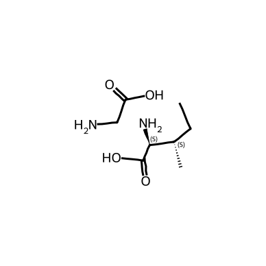 CC[C@H](C)[C@H](N)C(=O)O.NCC(=O)O